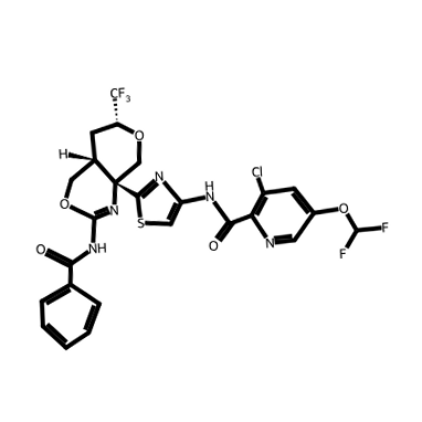 O=C(NC1=N[C@@]2(c3nc(NC(=O)c4ncc(OC(F)F)cc4Cl)cs3)CO[C@@H](C(F)(F)F)C[C@H]2CO1)c1ccccc1